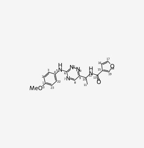 COc1ccc(Nc2ncc(C(C)NC(=O)c3ccoc3)nn2)cc1